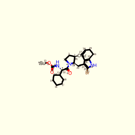 CC(=O)O[C@@H]1CCN(C(=O)[C@@H](NC(=O)OC(C)(C)C)C2CCCCC2)[C@@H]1Cc1c(Br)[nH]c2c1C=CCC2